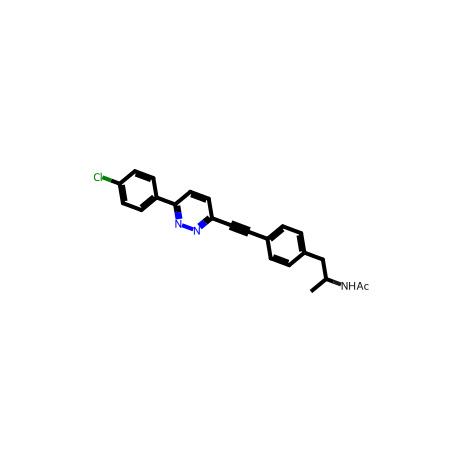 CC(=O)NC(C)Cc1ccc(C#Cc2ccc(-c3ccc(Cl)cc3)nn2)cc1